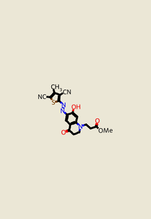 COC(=O)CCN1CCC(=O)c2cc(/N=N/c3sc(C#N)c(C)c3C#N)c(O)cc21